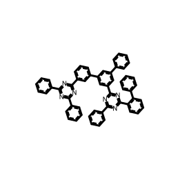 c1ccc(-c2cc(-c3cccc(-c4nc(-c5ccccc5)nc(-c5ccccc5)n4)c3)cc(-c3nc(-c4ccccc4)nc(-c4ccccc4-c4ccccc4)n3)c2)cc1